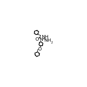 N=C(N)N(C(=O)Cc1ccccc1)c1ccc(OCc2ccccc2)cc1